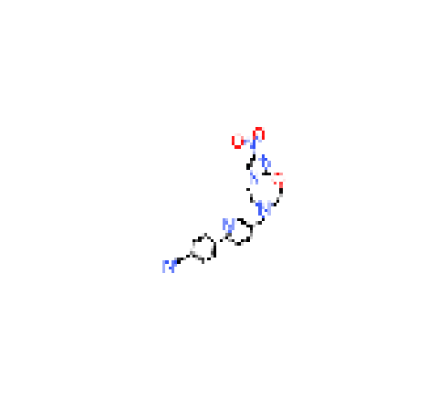 N#Cc1ccc(-c2ccc(CN3CCOc4nc([N+](=O)[O-])cn4CC3)cn2)cc1